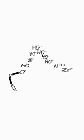 ClOCl.[Al+3].[OH-].[OH-].[OH-].[OH-].[OH-].[OH-].[OH-].[Zr+4]